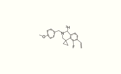 [2H]C1c2ccc(C=C)c(F)c2C2(CC2)CN1Cc1ccc(OC)cc1